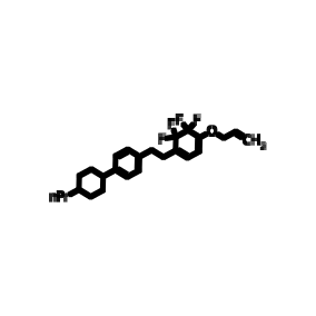 C=CCOC1=CC=C(CCc2ccc(C3CCC(CCC)CC3)cc2)C(F)(F)C1(F)F